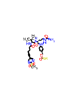 CC(C)[C@H](NC(=O)CCCC#Cc1cnc(S(C)(=O)=O)nc1)C(=O)N[C@@H](CCCNC(N)=O)C(=O)Nc1ccc(COC(=O)S)cc1